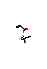 C=CC(=O)O[SiH](C)C